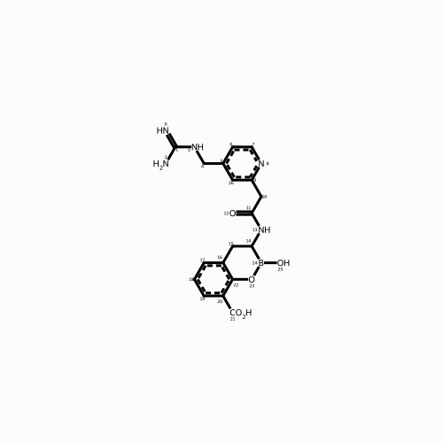 N=C(N)NCc1ccnc(CC(=O)NC2Cc3cccc(C(=O)O)c3OB2O)c1